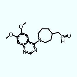 COc1cc2ncnc(N3CCCC(C[PH]=O)CC3)c2cc1OC